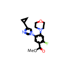 COC(=O)c1cc(-n2cnc(C3CC3)c2)c(N2CCOCC2)cc1F